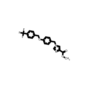 COC(=O)c1cn(Cc2ccc(OCc3ccc(C(F)(F)F)cc3)cc2)cn1